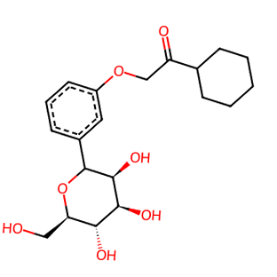 O=C(COc1cccc(C2O[C@H](CO)[C@@H](O)[C@H](O)[C@@H]2O)c1)C1CCCCC1